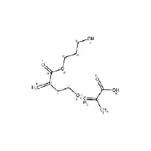 C=C(C)C(=O)O.C=C(CCO)C(=O)OCCCO